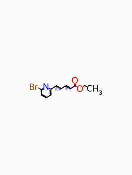 CCOC(=O)/C=C/C=C/c1cccc(Br)n1